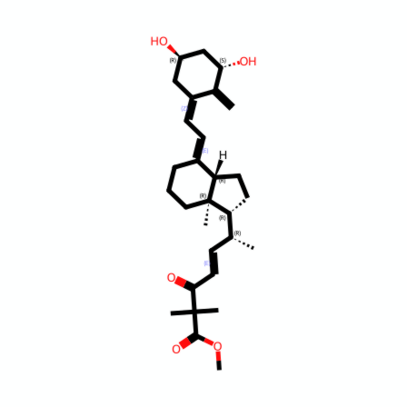 C=C1/C(=C\C=C2/CCC[C@]3(C)[C@@H]([C@H](C)/C=C/C(=O)C(C)(C)C(=O)OC)CC[C@@H]23)C[C@@H](O)C[C@@H]1O